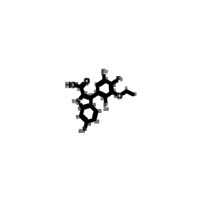 CCOc1c(F)c(F)cc(-c2c(C(=O)O)sc3cc(F)ccc23)c1F